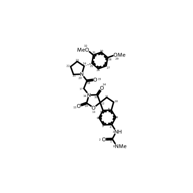 CNC(=O)Nc1ccc2c(c1)CCC21OC(=O)N(CC(=O)N2CCC[C@@H]2c2ccc(OC)cc2OC)C1=O